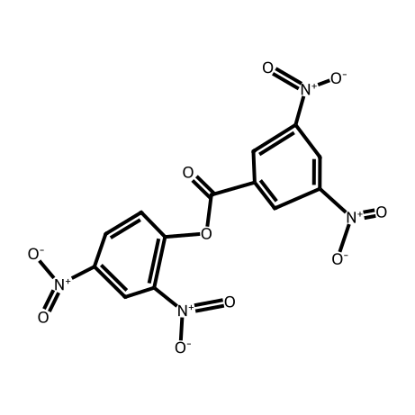 O=C(Oc1ccc([N+](=O)[O-])cc1[N+](=O)[O-])c1cc([N+](=O)[O-])cc([N+](=O)[O-])c1